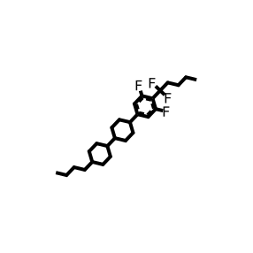 CCCCC1CCC(C2CCC(c3cc(F)c(C(F)(F)CCCC)c(F)c3)CC2)CC1